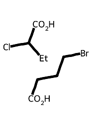 CCC(Cl)C(=O)O.O=C(O)CCCBr